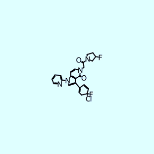 O=C(Cn1ccc2c(c(C3=CCC(F)(Cl)C=C3)cn2-c2ccccn2)c1=O)N1CCC(F)C1